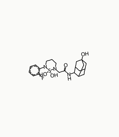 O=C(CN1CCCN(c2ccccc2F)S1(O)O)NC1C2CC3CC1CC(O)(C3)C2